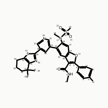 CNC(=O)c1c(-c2ccc(C)cc2)oc2cc(N(C)S(C)(=O)=O)c(-c3cncc(-c4nc5c(s4)CCCC5(F)F)c3)cc12